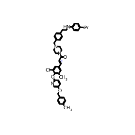 Cc1ccc(COc2ccc(Oc3c(C)cc(/C=C/C(=O)N4CCN(Cc5ccc(CCNc6ccc(C(C)C)cc6)cc5)CC4)cc3Cl)nc2)cc1